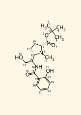 CN1[C@@H](C(=O)OC(C)(C)C)CC[C@H]1[C@H](CO)NC(=O)c1ccccc1O